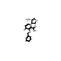 N[C@@H]1COCC1n1ccc(=O)c(OCc2ccccc2)c1C(=O)O